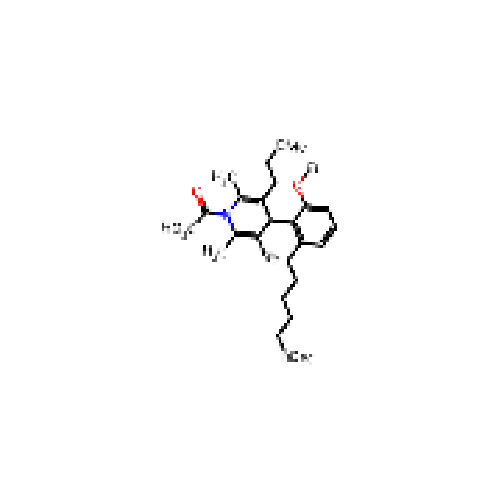 CCCCCCCCCCCCCCCc1cccc(OCC)c1C1C(CCOC)=C(C)N(C(=O)C(=O)O)C(C)=C1C(C)C